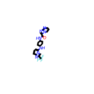 O=C(NC1CCC(Nc2cccc3nc(C(F)(F)F)cn23)CC1)c1cnc2ncccn12